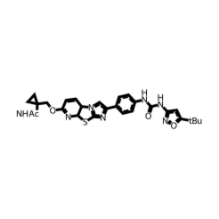 CC(=O)NC1(COC2=NC3Sc4nc(-c5ccc(NC(=O)Nc6cc(C(C)(C)C)on6)cc5)cn4C3C=C2)CC1